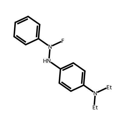 CCN(CC)c1ccc(NN(F)c2ccccc2)cc1